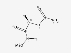 CON(C)C(=O)[C@@H](C)OC(N)=O